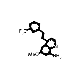 COc1cc(N)c2nccc(C=Cc3cccc(C(F)(F)F)c3)c2c1